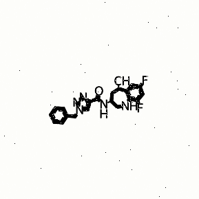 C[C@H]1C[C@@H](NC(=O)c2cn(Cc3ccccc3)nn2)CNc2c(F)cc(F)cc21